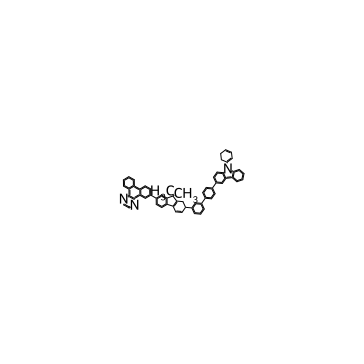 CC1(C)C2=C(C=CC(c3cccc(-c4ccc(-c5ccc6c(c5)c5ccccc5n6C5=CC=CCC5)cc4)c3)C2)c2ccc(-c3ccc4c5ccccc5c5nccnc5c4c3)cc21